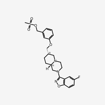 CS(=O)(=O)OCc1cccc(OC[C@H]2CC[C@H]3CN(c4noc5ccc(F)cc45)CCN3C2)c1